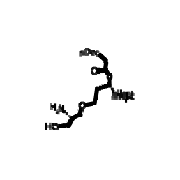 CCCCCCCCCCCC(=O)O[C@H](CCCCCCC)CCOC[C@@H](N)CO